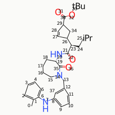 Cc1ccccc1Nc1cccc(CN2CCCC[C@H](NC(=O)[C@H](CC(C)C)C3C=CC(C(=O)OC(C)(C)C)C3)C2=O)c1